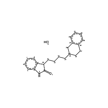 Cl.O=C1Nc2ccccc2C1CCCCN1CCc2ccccc2C1